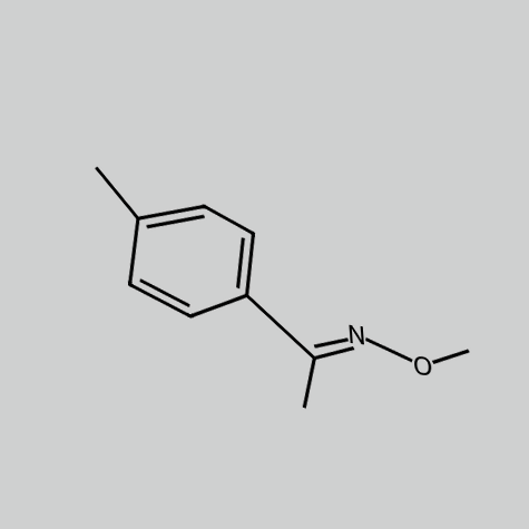 CON=C(C)c1ccc(C)cc1